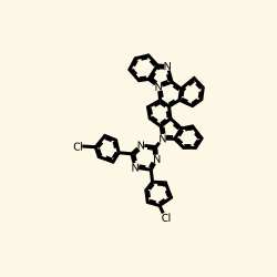 Clc1ccc(-c2nc(-c3ccc(Cl)cc3)nc(-n3c4ccccc4c4c5c6ccccc6c6nc7ccccc7n6c5ccc43)n2)cc1